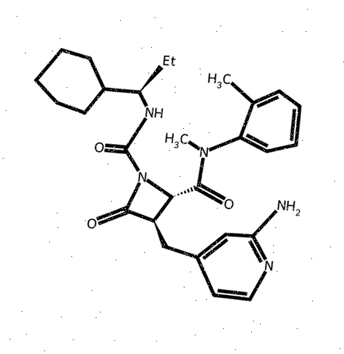 CC[C@@H](NC(=O)N1C(=O)[C@H](Cc2ccnc(N)c2)[C@H]1C(=O)N(C)c1ccccc1C)C1CCCCC1